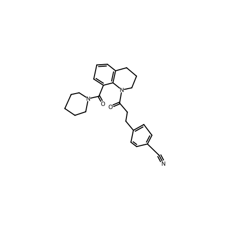 N#Cc1ccc(CCC(=O)N2CCCc3cccc(C(=O)N4CCCCC4)c32)cc1